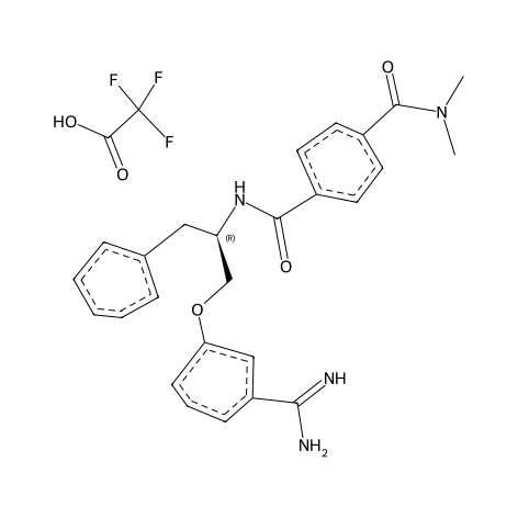 CN(C)C(=O)c1ccc(C(=O)N[C@@H](COc2cccc(C(=N)N)c2)Cc2ccccc2)cc1.O=C(O)C(F)(F)F